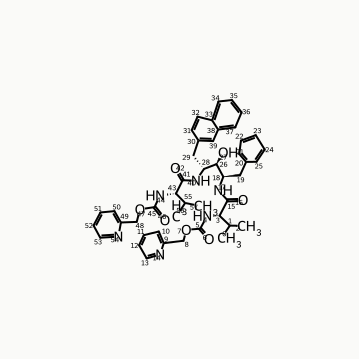 CC(C)[C@H](NC(=O)OCc1ccccn1)C(=O)N[C@H](Cc1ccccc1)[C@H](O)[C@@H](Cc1ccc2ccccc2c1)NC(=O)[C@@H](NC(=O)OCc1ccccn1)C(C)C